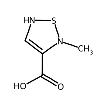 CN1SNC=C1C(=O)O